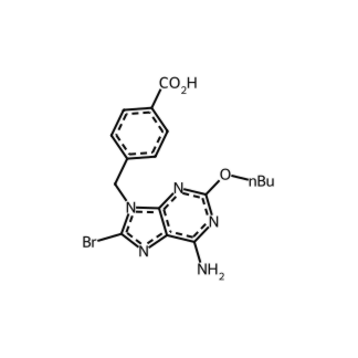 CCCCOc1nc(N)c2nc(Br)n(Cc3ccc(C(=O)O)cc3)c2n1